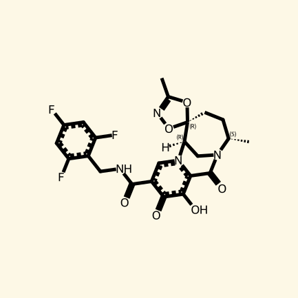 CC1=NO[C@@]2(CC[C@H](C)N3C[C@H]2n2cc(C(=O)NCc4c(F)cc(F)cc4F)c(=O)c(O)c2C3=O)O1